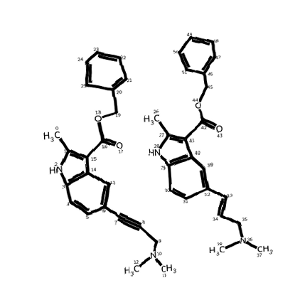 Cc1[nH]c2ccc(C#CCN(C)C)cc2c1C(=O)OCc1ccccc1.Cc1[nH]c2ccc(C=CCN(C)C)cc2c1C(=O)OCc1ccccc1